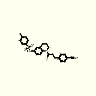 Cc1ccc(S(=O)(=O)Nc2ccc3c(c2)CCCN3C(=O)CCc2ccc(C#N)cc2)cc1